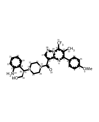 COc1ccc(-c2nc3c(C(=O)N4CCN([C@@H](CO)c5ccccc5N)CC4)cnn3c(C(F)(F)F)c2C)cc1